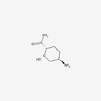 Cl.NC(=O)[C@@H]1CC[C@@H](N)CO1